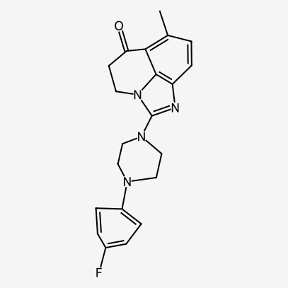 Cc1ccc2nc(N3CCN(c4ccc(F)cc4)CC3)n3c2c1C(=O)CC3